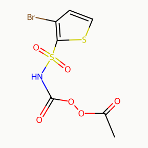 CC(=O)OOC(=O)NS(=O)(=O)c1sccc1Br